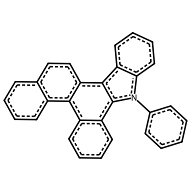 c1ccc(-n2c3ccccc3c3c4ccc5ccccc5c4c4ccccc4c32)cc1